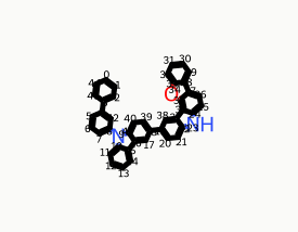 c1ccc(-c2cccc(-n3c4ccccc4c4cc(-c5ccc6[nH]c7ccc8c9ccccc9oc8c7c6c5)ccc43)c2)cc1